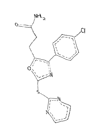 NC(=O)CCc1oc(Sc2ncccn2)nc1-c1ccc(Cl)cc1